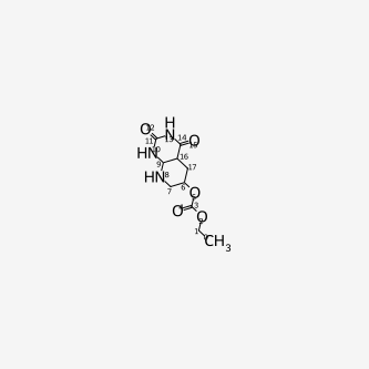 CCOC(=O)OC1CNC2NC(=O)NC(=O)C2C1